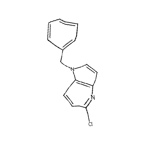 Clc1ccc2c(ccn2Cc2ccccc2)n1